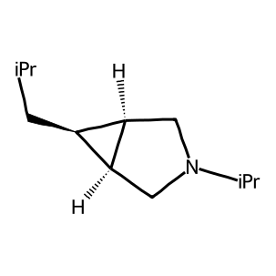 CC(C)C[C@H]1[C@H]2CN(C(C)C)C[C@@H]12